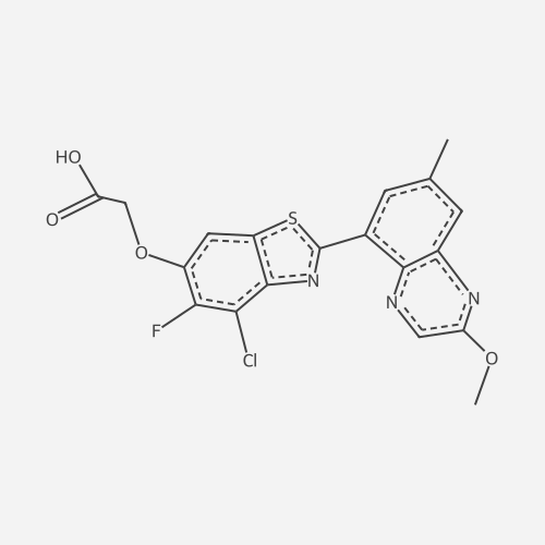 COc1cnc2c(-c3nc4c(Cl)c(F)c(OCC(=O)O)cc4s3)cc(C)cc2n1